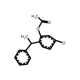 CC(=O)Oc1cc(Cl)ccc1C(C)c1ccccc1